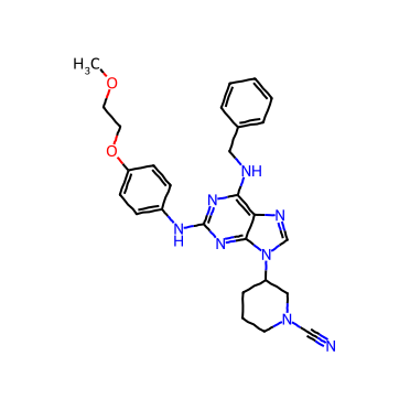 COCCOc1ccc(Nc2nc(NCc3ccccc3)c3ncn(C4CCCN(C#N)C4)c3n2)cc1